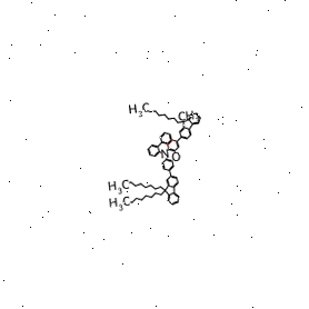 CCCCCCCCC1(C)c2ccccc2-c2ccc(-c3ccc4c(c3)Oc3cc(-c5ccc6c(c5)C(CCCCCCCC)(CCCCCCCC)c5ccccc5-6)ccc3N4c3ccccc3-c3ccccc3)cc21